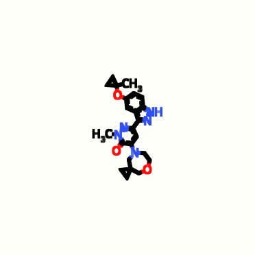 Cn1nc(-c2n[nH]c3ccc(OC4(C)CC4)cc23)cc(N2CCOCC3(CC3)C2)c1=O